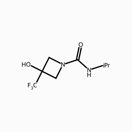 CC(C)NC(=O)N1CC(O)(C(F)(F)F)C1